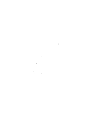 O=C(O)c1cnn(-c2cccnn2)c1